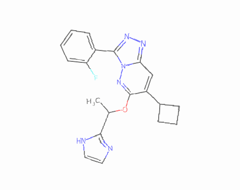 CC(Oc1nn2c(-c3ccccc3F)nnc2cc1C1CCC1)c1ncc[nH]1